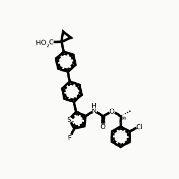 C[C@@H](OC(=O)Nc1cc(F)sc1-c1ccc(-c2ccc(C3(C(=O)O)CC3)cc2)cc1)c1ccccc1Cl